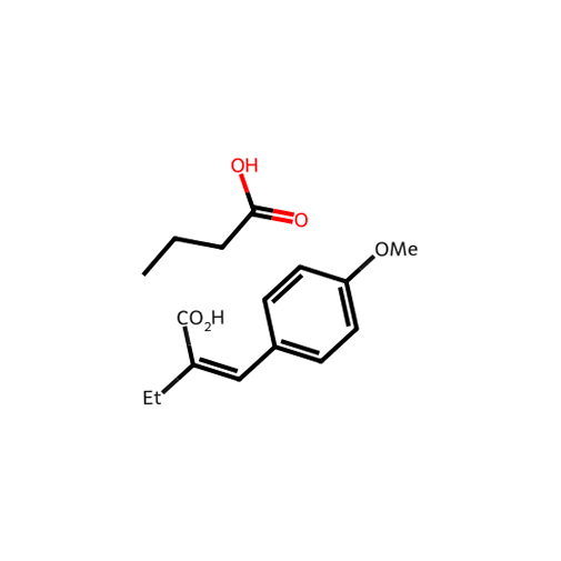 CCC(=Cc1ccc(OC)cc1)C(=O)O.CCCC(=O)O